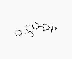 O=C1c2cc(-c3ccc(C(F)(F)F)cc3)ccc2OCN1Cc1ccccc1